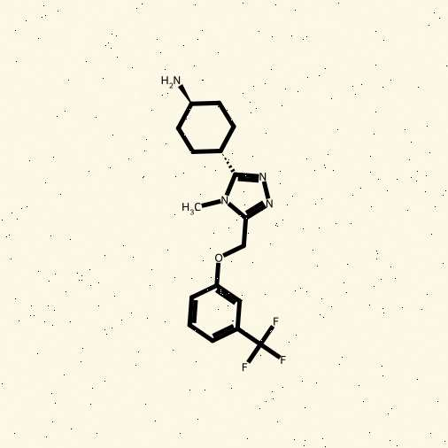 Cn1c(COc2cccc(C(F)(F)F)c2)nnc1[C@H]1CC[C@H](N)CC1